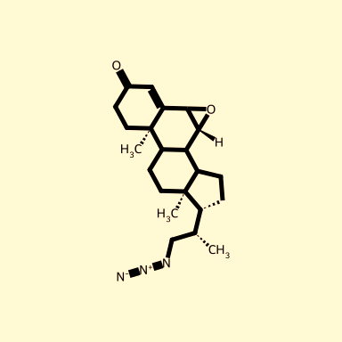 C[C@H](CN=[N+]=[N-])[C@H]1CCC2C3C(CC[C@@]21C)[C@@]1(C)CCC(=O)C=C1C1O[C@@H]13